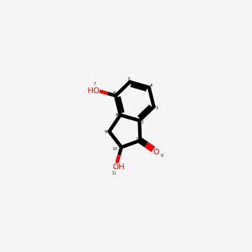 O=C1c2cccc(O)c2CC1O